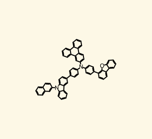 c1ccc2cc(-n3c4ccccc4c4cc(-c5ccc(N(c6ccc(-c7cccc8c7oc7ccccc78)cc6)c6ccc7c8ccccc8c8ccccc8c7c6)cc5)ccc43)ccc2c1